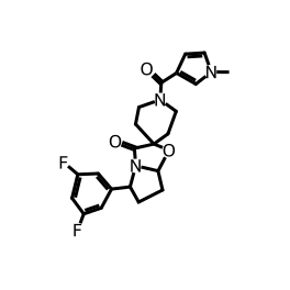 Cn1ccc(C(=O)N2CCC3(CC2)OC2CCC(c4cc(F)cc(F)c4)N2C3=O)c1